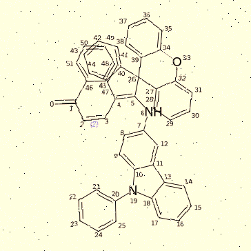 C=C(/C=C\C1=C(Nc2ccc3c(c2)c2ccccc2n3-c2ccccc2)C2(c3ccccc3Oc3ccccc32)c2ccccc21)c1c#cccc1